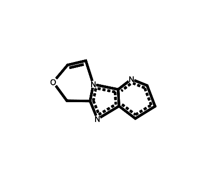 C1=Cn2c(nc3cccnc32)CO1